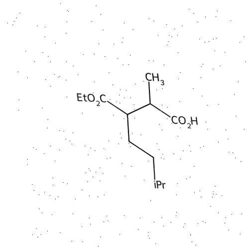 CCOC(=O)C(CCC(C)C)C(C)C(=O)O